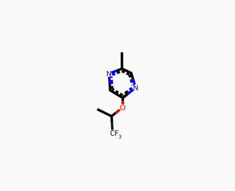 Cc1cnc(OC(C)C(F)(F)F)cn1